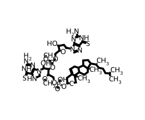 COC(COP(=O)(O)OC1CCC2(C)C(=CCC3C2CCC2(C)C3CCC2[C@H](C)CCCC(C)C)C1)C(OP(OC)OCC1OC(n2cnc3c(=S)[nH]c(N)nc32)CC1O)C(O)N1CNc2c1nc(N)[nH]c2=S